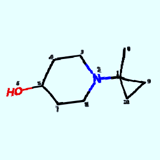 CC1(N2CCC(O)CC2)CC1